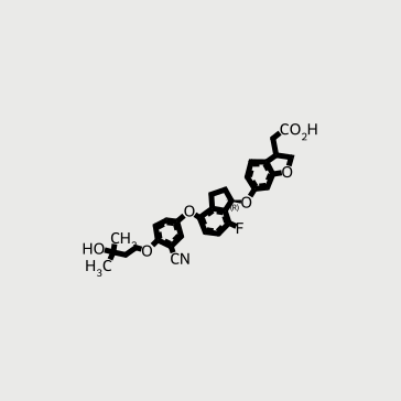 CC(C)(O)CCOc1ccc(Oc2ccc(F)c3c2CC[C@H]3Oc2ccc3c(c2)OCC3CC(=O)O)cc1C#N